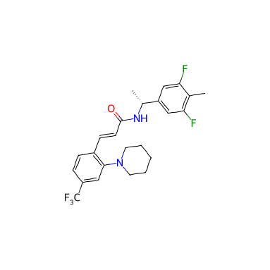 Cc1c(F)cc([C@@H](C)NC(=O)/C=C/c2ccc(C(F)(F)F)cc2N2CCCCC2)cc1F